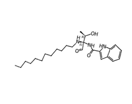 CCCCCCCCCCCCN[C@](C=O)(NC(=O)c1cc2ccccc2[nH]1)[C@@H](C)O